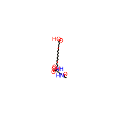 CCC(=O)NCCCC[C@@H](NC(=O)CCCCCCCCCCCCCCCCC(=O)O)C(=O)O